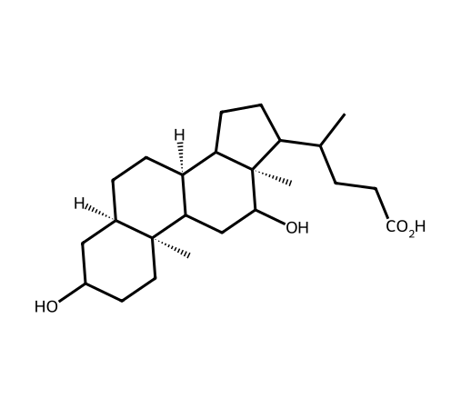 CC(CCC(=O)O)C1CCC2[C@@H]3CC[C@@H]4CC(O)CC[C@]4(C)C3CC(O)[C@]12C